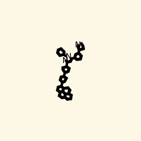 c1ccc(-c2nc(-c3ccc(-c4ccc(-c5ccc6ccc7cccc8ccc5c6c78)cc4)cc3)cc(-c3cccc(-c4cccnc4)c3)n2)cc1